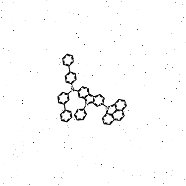 c1ccc(-c2ccc(N(c3cccc(-c4ccccc4)c3)c3ccc4c5ccc(-n6c7cccc8ccc9cccc6c9c87)cc5n(-c5ccccc5)c4c3)cc2)cc1